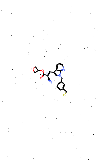 N#C/C(=C\c1cn(Cc2cccc(CS)c2)c2ncccc12)C(=O)OC1COC1